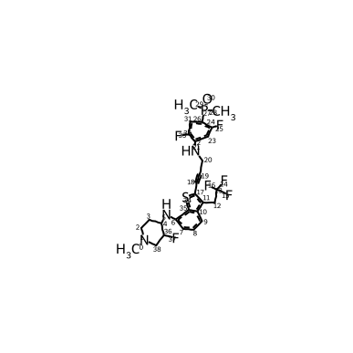 CN1CCC(Nc2cccc3c(CC(F)(F)F)c(C#CCNc4cc(F)c(P(C)(C)=O)cc4F)sc23)C(F)C1